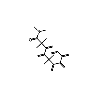 C=CC(=C)C(=C)C(=C)C(C)(C)C(=C)C(=C)C(C)(C)C(=O)N(C)C